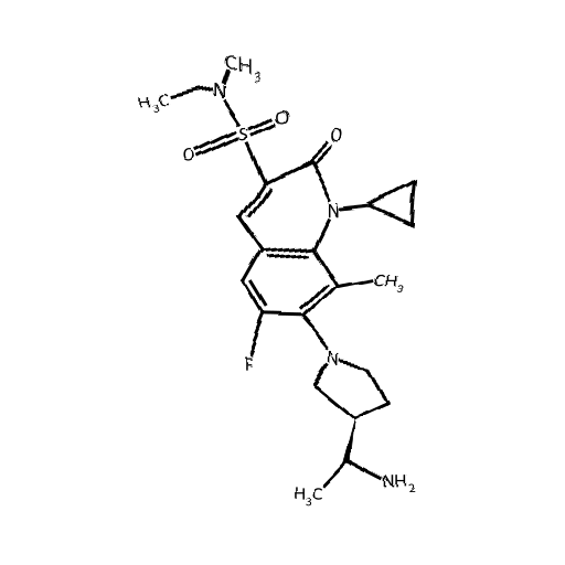 Cc1c(N2CC[C@@H](C(C)N)C2)c(F)cc2cc(S(=O)(=O)N(C)C)c(=O)n(C3CC3)c12